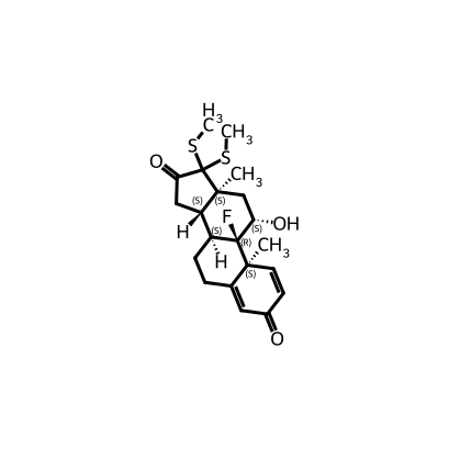 CSC1(SC)C(=O)C[C@H]2[C@@H]3CCC4=CC(=O)C=C[C@]4(C)[C@@]3(F)[C@@H](O)C[C@@]21C